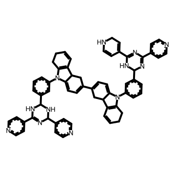 C1=CC2=C(CC1)N(c1cccc(C3N=C(c4ccncc4)N=C(C4=CCNC=C4)N3)c1)C1=CC=C(C3=CC=C4C(C3)C3=C(CCC=C3)N4c3cccc(C4NC(c5ccncc5)=NC(c5ccncc5)N4)c3)CC12